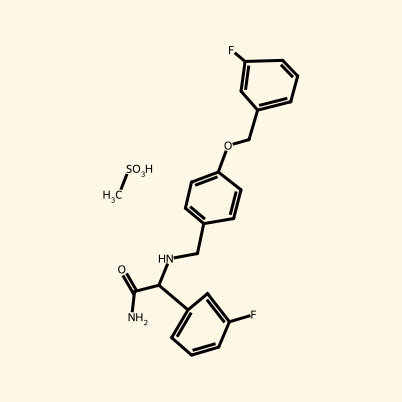 CS(=O)(=O)O.NC(=O)C(NCc1ccc(OCc2cccc(F)c2)cc1)c1cccc(F)c1